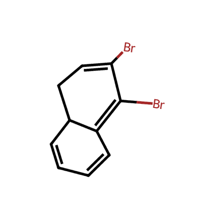 BrC1=CCC2C=CC=CC2=C1Br